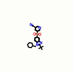 CC(C)(C)c1nc2cc(S(=O)(=O)c3cncc(C#N)c3)ccc2n1CC1CCCCC1